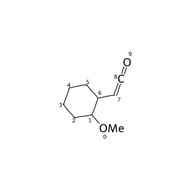 COC1CCCCC1C=C=O